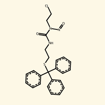 O=NN(CCCl)C(=O)NCCSC(c1ccccc1)(c1ccccc1)c1ccccc1